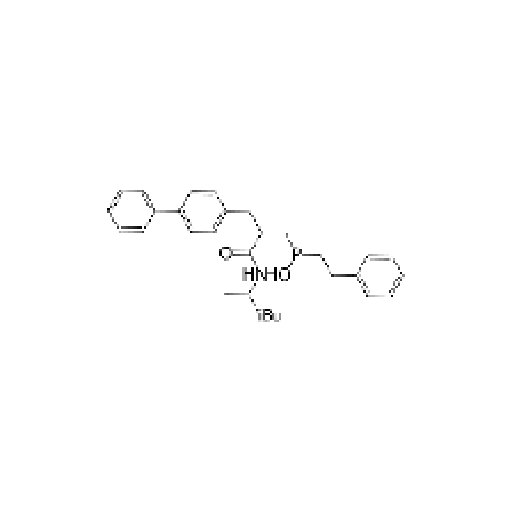 CCC(C)C(C)NC(=O)C(Cc1ccc(-c2ccccc2)cc1)CP(O)CCc1ccccc1